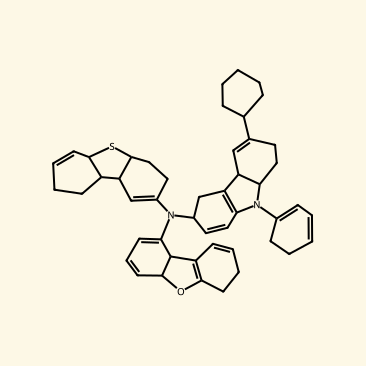 C1=CCCC(N2C3=C(CC(N(C4=CC5C(CC4)SC4C=CCCC45)C4=CC=CC5OC6=C(C=CCC6)C45)C=C3)C3C=C(C4CCCCC4)CCC32)=C1